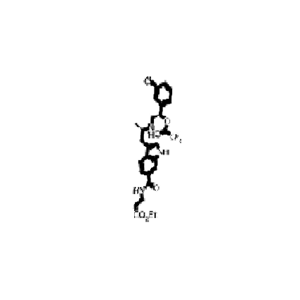 CCOC(=O)CCNC(=O)c1ccc2c(C[C@@H](C)NC[C@H](OC(=O)C(F)(F)F)c3cccc(Cl)c3)c[nH]c2c1